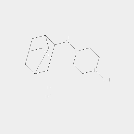 CN1CCN(NC2C3CC4CC(C3)CC2C4)CC1.Cl.Cl